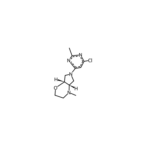 Cc1nc(Cl)cc(N2C[C@H]3OCCN(C)[C@H]3C2)n1